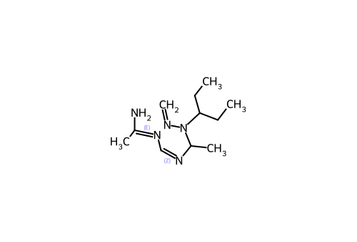 C=NN(C(CC)CC)C(C)/N=C\N=C(/C)N